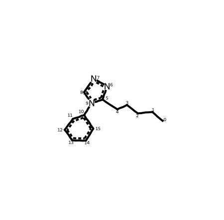 CCCCCc1nn[c]n1-c1ccccc1